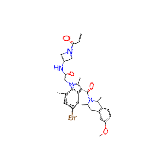 C=CC(=O)N1CC(NC(=O)Cn2c(C)c(C(=O)N3C(C)Cc4cc(OC)ccc4C3C)c3cc(Br)cc(C)c32)C1